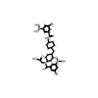 O=C(O)CN(C(=O)c1cc(Br)cc(B(O)O)c1)C1CCC(CC2CCC(NC(=O)c3cc(Br)cc(B(O)O)c3)CC2)CC1